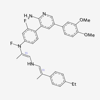 CCc1ccc(/C(C)=C/N/C=C(\C)N(F)c2ccc(-c3cc(-c4ccc(OC)c(OC)c4)cnc3N)c(F)c2)cc1